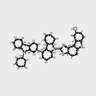 Clc1ccc2sc3ccc4sc(-n5c6ccccc6c6c(-c7ccc8c9ccccc9n(-c9ccccc9)c8c7)cccc65)nc4c3c2c1